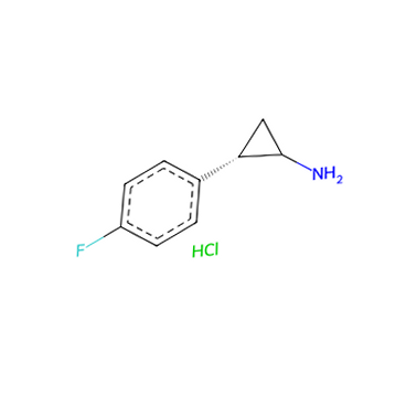 Cl.NC1C[C@H]1c1ccc(F)cc1